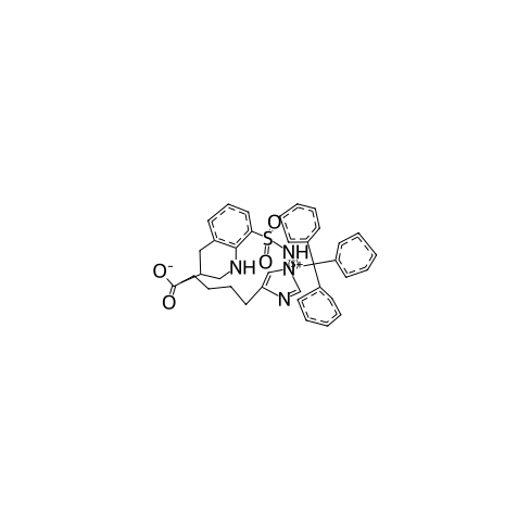 CC1CNc2c(cccc2S(=O)(=O)N[N@@+]2(C(c3ccccc3)(c3ccccc3)c3ccccc3)C=NC(CCCCC(=O)[O-])=C2)C1